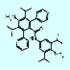 CC(C)c1cc(NC(=O)c2c(-c3ccccc3)c(C(C)C)c(N)c(C(C)C)c2-c2ccccc2)cc(C(C)C)c1N